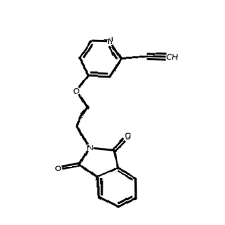 C#Cc1cc(OCCN2C(=O)c3ccccc3C2=O)ccn1